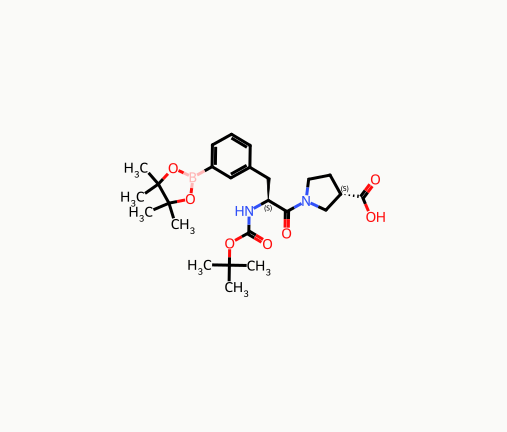 CC(C)(C)OC(=O)N[C@@H](Cc1cccc(B2OC(C)(C)C(C)(C)O2)c1)C(=O)N1CC[C@H](C(=O)O)C1